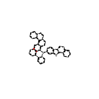 c1ccc(-c2ccccc2N(c2ccc3c(c2)sc2c4ccccc4ccc32)c2cccc3c2ccc2ccc4ccccc4c23)cc1